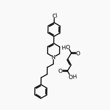 Clc1ccc(C2=CCN(CCCCc3ccccc3)CC2)cc1.O=C(O)C=CC(=O)O